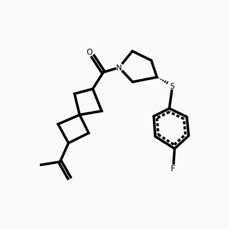 C=C(C)C1CC2(C1)CC(C(=O)N1CC[C@H](Sc3ccc(F)cc3)C1)C2